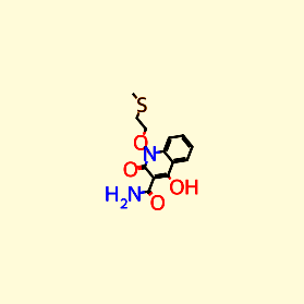 CSCCOn1c(=O)c(C(N)=O)c(O)c2ccccc21